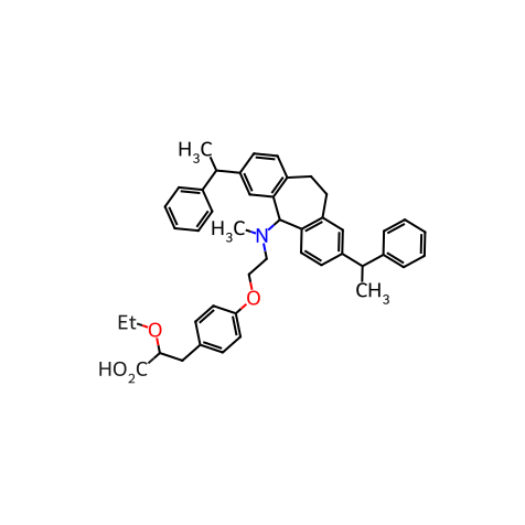 CCOC(Cc1ccc(OCCN(C)C2c3ccc(C(C)c4ccccc4)cc3CCc3ccc(C(C)c4ccccc4)cc32)cc1)C(=O)O